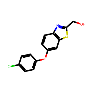 OCc1nc2ccc(Oc3ccc(Cl)cc3)cc2s1